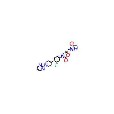 CC(=O)NC[C@H]1CN(c2ccc(C3=CCN(c4ncccn4)CC3)c(F)c2)C(=O)O1